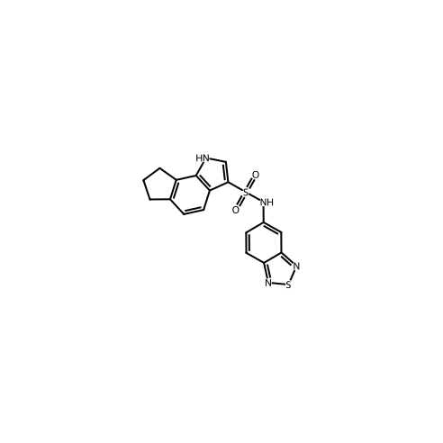 O=S(=O)(Nc1ccc2nsnc2c1)c1c[nH]c2c3c(ccc12)CCC3